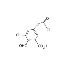 O=Cc1c(Cl)cc(OC(=O)Cl)cc1C(=O)O